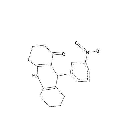 O=C1CCCC2=C1C(c1cccc([N+](=O)[O-])c1)C1=C(CCCC1)N2